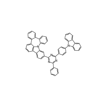 c1ccc(-c2nc(-c3ccc(-n4c5ccccc5c5ccccc54)cc3)nc(-c3ccc4c5cccc6c5n(c4c3)-c3ccccc3-c3ccccc3-6)n2)cc1